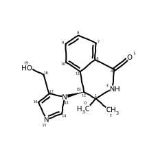 CC1(C)NC(=O)c2ccccc2[C@@H]1n1cncc1CO